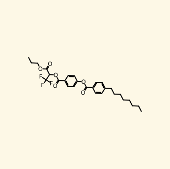 CCCCCCCCc1ccc(C(=O)Oc2ccc(C(=O)OC(C(=O)OCCC)C(F)(F)F)cc2)cc1